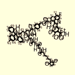 CC[C@@]1(O)C(=O)OCc2c1cc1n(c2=O)Cc2c-1nc1cc(F)c(C)c3c1c2[C@@H](NC(=O)OCc1ccc(NC(=O)[C@H](CCCCNC(c2ccccc2)(c2ccccc2)c2ccc(C)cc2)NC(=O)[C@@H](NC(=O)CNC(=O)CNC(=O)CCCCCN2C(=O)C=CC2=O)C(C)C)cc1)CC3